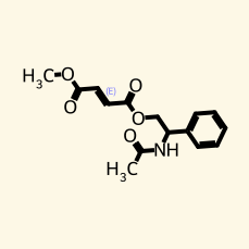 COC(=O)/C=C/C(=O)OCC(NC(C)=O)c1ccccc1